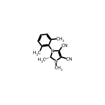 Cc1cccc(C)c1N1C(C#N)=C(C#N)N(C)[C@@H]1C